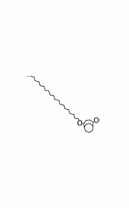 [CH2]CCCCCCCCCCCCCCCCCCCOC1CCC([O])C2CCCC1CC2